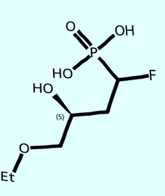 CCOC[C@@H](O)CC(F)P(=O)(O)O